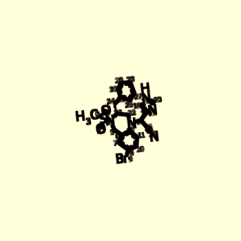 CS(=O)(=O)N1Cc2cc(Br)ccc2N(C(C#N)c2c[nH]cn2)C[C@H]1Cc1ccccc1